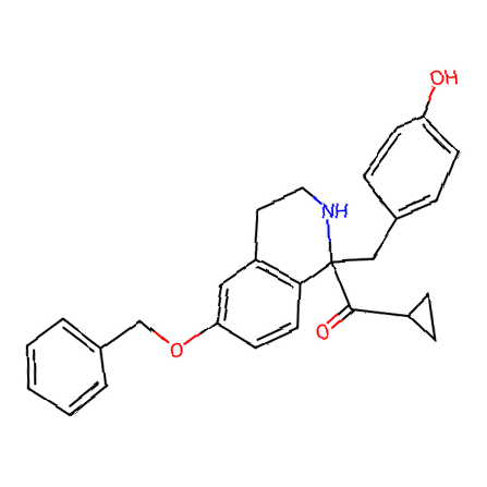 O=C(C1CC1)C1(Cc2ccc(O)cc2)NCCc2cc(OCc3ccccc3)ccc21